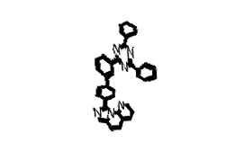 c1ccc(-c2nc(-c3ccccc3)nc(-c3cccc(-c4ccc(-c5ncc6ccc7cccnc7n56)cc4)c3)n2)cc1